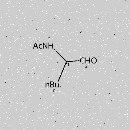 CCCC[C](C=O)NC(C)=O